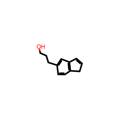 OCCCc1ccc2c(c1)C=CC2